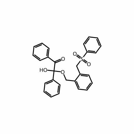 O=C(c1ccccc1)C(O)(OCc1ccccc1CS(=O)(=O)c1ccccc1)c1ccccc1